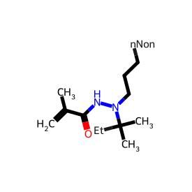 C=C(C)C(=O)NN(CCCCCCCCCCCC)C(C)(C)CC